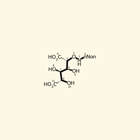 CCCCCCCCCNO[C@@H](C(=O)O)[C@@H](O)[C@H](O)[C@H](O)C(=O)O